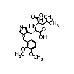 COc1cccc(Cn2cncc2C[C@H](NC(CC(C)C)C(=O)O)C(=O)O)c1OC